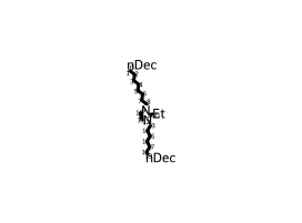 CCCCCCCCCCCCCCCCCCN1C=CN(CCCCCCCCCCCCCCCC)C1CC